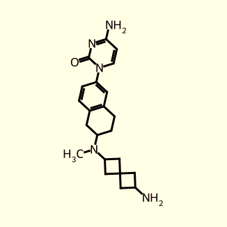 CN(C1CCc2cc(-n3ccc(N)nc3=O)ccc2C1)C1CC2(CC(N)C2)C1